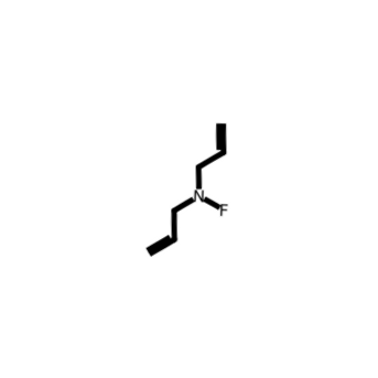 C=CCN(F)CC=C